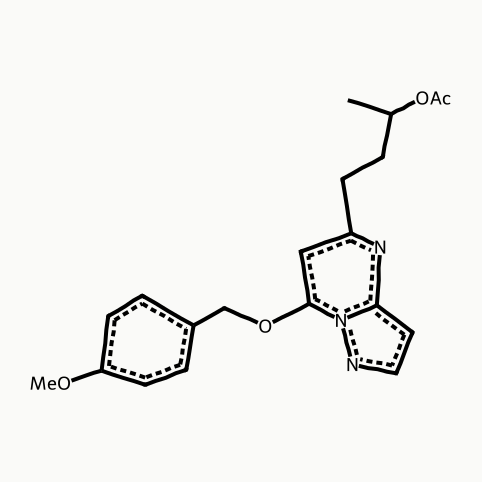 COc1ccc(COc2cc(CCC(C)OC(C)=O)nc3ccnn23)cc1